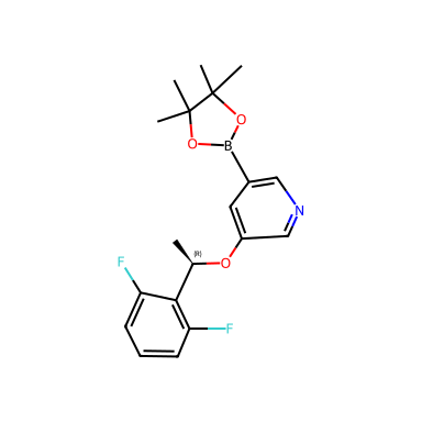 C[C@@H](Oc1cncc(B2OC(C)(C)C(C)(C)O2)c1)c1c(F)cccc1F